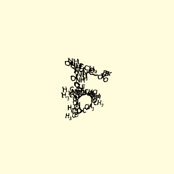 COc1cc2cc(c1Cl)N(C)C(=O)C[C@H](OC(=O)[C@H](C)N(C)C(=O)c1ccc(NC(=O)[C@H](CCCNC(N)=O)NC(=O)[C@@H](NC(C=O)CCCCOC(C=O)(CBr)CBr)C(C)C)cc1C(F)(F)F)[C@]1(C)O[C@H]1[C@H](C)[C@@H]1C[C@@](O)(NC(=O)O1)[C@H](OC)/C=C/C=C(\C)C2